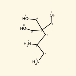 NCC(N)CC(CO)(CO)CO